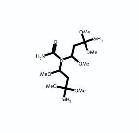 COC(CC([SiH3])(OC)OC)N(C(N)=O)C(CC([SiH3])(OC)OC)OC